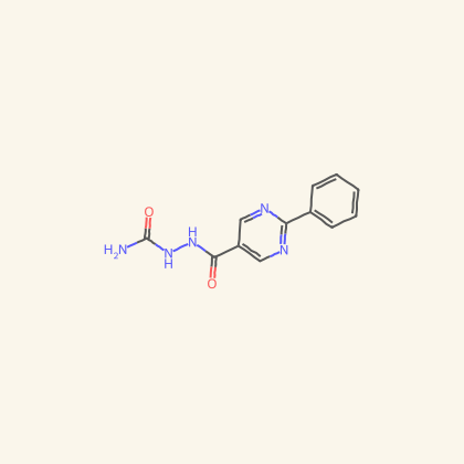 NC(=O)NNC(=O)c1cnc(-c2ccccc2)nc1